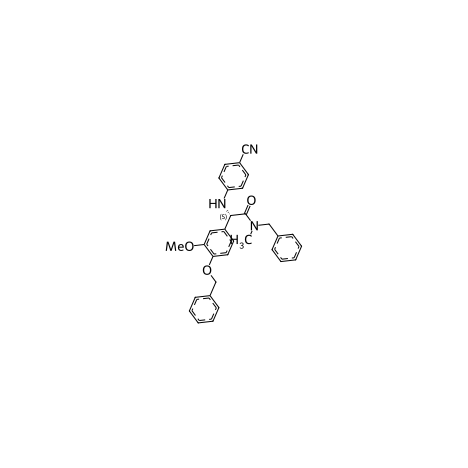 COc1cc([C@H](Nc2ccc(C#N)cc2)C(=O)N(C)Cc2ccccc2)ccc1OCc1ccccc1